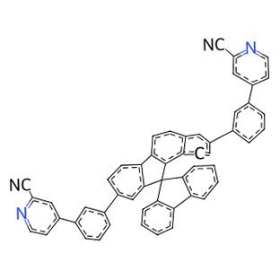 N#Cc1cc(-c2cccc(-c3ccc4c(c3)C3(c5ccccc5-c5ccccc53)c3c-4ccc4cc(-c5cccc(-c6ccnc(C#N)c6)c5)ccc34)c2)ccn1